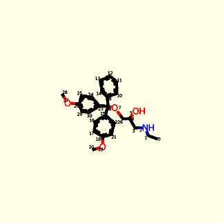 CCNCC(O)COC(c1ccccc1)(c1ccc(OC)cc1)c1ccc(OC)cc1